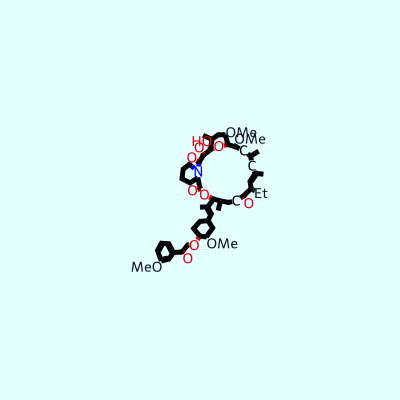 CCC1/C=C(\C)CC(C)CC(OC)C2OC(O)(C(=O)C(=O)N3CCCCC3C(=O)OC(C(C)=CC3CCC(OCC(=O)c4cccc(OC)c4)C(OC)C3)C(C)CCC1=O)C(C)CC2OC